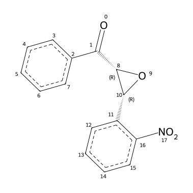 O=C(c1ccccc1)[C@@H]1O[C@@H]1c1ccccc1[N+](=O)[O-]